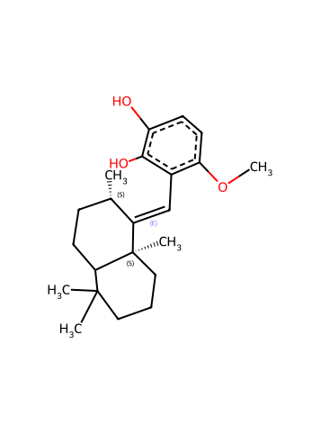 COc1ccc(O)c(O)c1/C=C1\[C@@H](C)CCC2C(C)(C)CCC[C@]12C